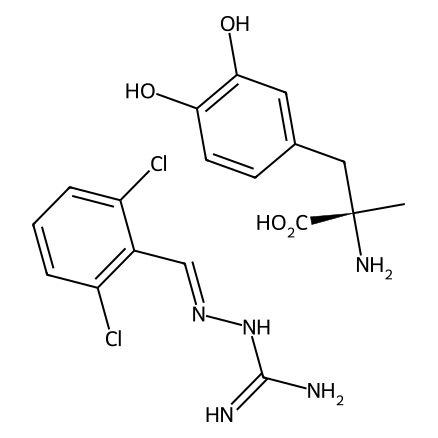 C[C@](N)(Cc1ccc(O)c(O)c1)C(=O)O.N=C(N)N/N=C/c1c(Cl)cccc1Cl